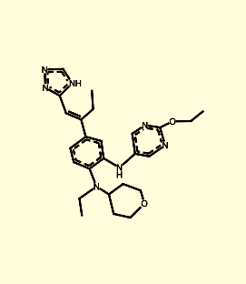 CCOc1ncc(Nc2cc(/C(=C/c3nnc[nH]3)CC)ccc2N(CC)C2CCOCC2)cn1